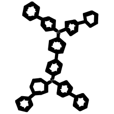 C1=CCC(c2ccc(N(c3ccc(-c4ccccc4)cc3)c3ccc(-c4ccc(N(C5=CC=C(c6ccccc6)CC=C5)c5ccc(-c6ccccc6)cc5)cc4)cc3)cc2)C=C1